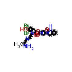 CC(N)=C=C=NC=C=C=NC(=O)[C@@H](Cc1cc(Br)c(O)c(Br)c1)OC(=O)N1CCC(N2CCc3ccccc3NC2=O)CC1